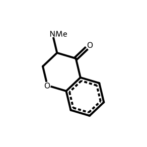 CNC1COc2ccccc2C1=O